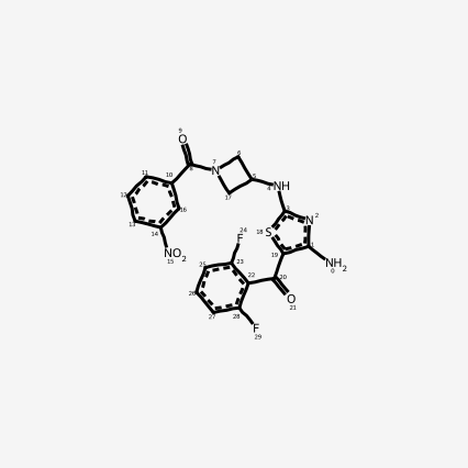 Nc1nc(NC2CN(C(=O)c3cccc([N+](=O)[O-])c3)C2)sc1C(=O)c1c(F)cccc1F